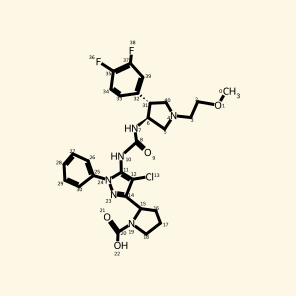 COCCN1C[C@@H](NC(=O)Nc2c(Cl)c(C3CCCN3C(=O)O)nn2-c2ccccc2)[C@H](c2ccc(F)c(F)c2)C1